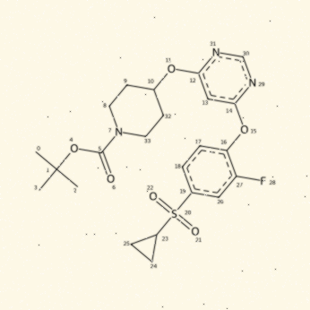 CC(C)(C)OC(=O)N1CCC(Oc2cc(Oc3ccc(S(=O)(=O)C4CC4)cc3F)ncn2)CC1